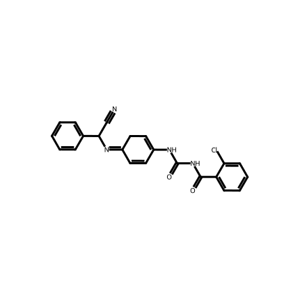 N#CC(N=C1C=CC(NC(=O)NC(=O)c2ccccc2Cl)=CC1)c1ccccc1